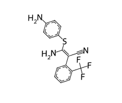 N#CC(=C(N)Sc1ccc(N)cc1)c1ccccc1C(F)(F)F